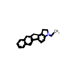 CCN1CCc2c1ccc1c2Cc2cc3ccccc3cc2-1